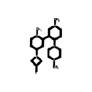 CN1CCN(C2CCN(C)CC2C2CC(N3CC(F)C3)CCN2C)CC1